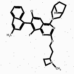 Cc1cc(-c2c(Cl)cc3c(N4CC5CCC(C4)N5)nc(OCCC4CCN4C)nc3c2F)c2ccccc2c1